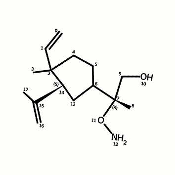 C=CC1(C)CCC([C@](C)(CO)ON)C[C@H]1C(=C)C